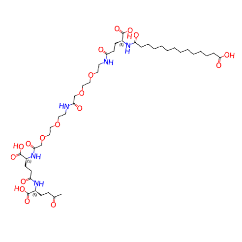 CC(=O)CC[C@H](NC(=O)CC[C@H](NC(=O)COCCOCCNC(=O)COCCOCCNC(=O)CC[C@H](NC(=O)CCCCCCCCCCCCC(=O)O)C(=O)O)C(=O)O)C(=O)O